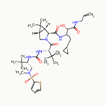 C=CCNC(=O)C(O)C(CC1CC1)NC(=O)[C@@H]1[C@@H]2[C@H](CN1C(=O)[C@@H](NC(=O)N[C@H](CN(C)S(=O)(=O)c1cccs1)C(C)(C)C)C(C)(C)C)C2(C)C